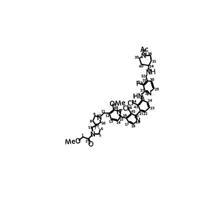 COCC(=O)N1CC[C@@]2(CCN(Cc3ccc(-c4ccnc(-c5cccc(Nc6nccc(CNC7CCN(C(C)=O)CC7)c6F)c5Cl)c4Cl)nc3OC)C2)C1